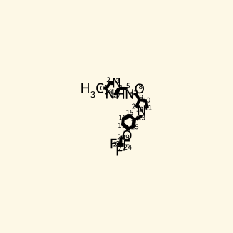 Cc1cnc(CNC(=O)C2CCN(Cc3cccc(OCC(F)(F)F)c3)C2)cn1